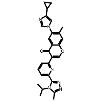 Cc1cc2occ(-c3cccc(-c4nnc(C)n4C(C)C)n3)c(=O)c2cc1-n1cnc(C2CC2)c1